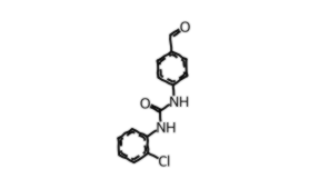 O=Cc1ccc(NC(=O)Nc2ccccc2Cl)cc1